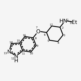 CCNC1CCCC(Oc2ccc3[nH]ncc3c2)C1